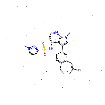 CCC1=Cc2cc(-c3cn(C)c4nccc(NS(=O)(=O)c5ccn(C)n5)c34)ccc2CCC1